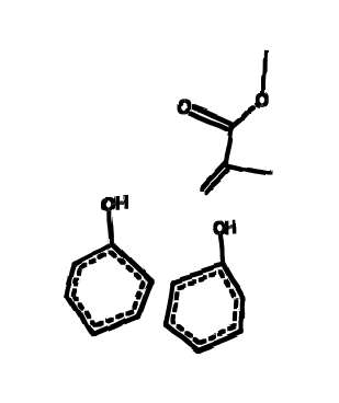 C=C(C)C(=O)OC.Oc1ccccc1.Oc1ccccc1